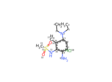 CCN(CC)c1ccc(N)c(NS(C)(=O)=O)c1C.Cl